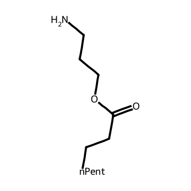 CCCCCCCC(=O)OCCCN